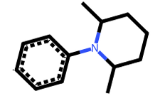 CC1CCCC(C)N1c1cc[c]cc1